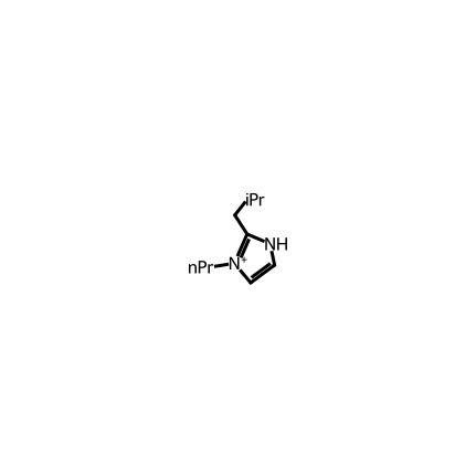 CCC[n+]1cc[nH]c1CC(C)C